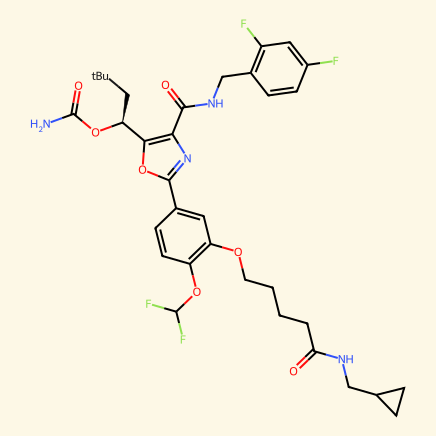 CC(C)(C)C[C@H](OC(N)=O)c1oc(-c2ccc(OC(F)F)c(OCCCCC(=O)NCC3CC3)c2)nc1C(=O)NCc1ccc(F)cc1F